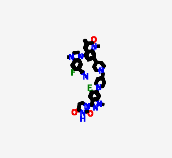 Cc1cc2c(N3CCN(C)c4cc(F)c(C#N)cc43)cc(C3CCN(CC4CCN(c5cc6c(cc5F)c(N5CCC(=O)NC5=O)nn6C)CC4)CC3)cc2n(C)c1=O